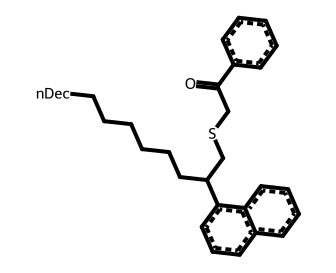 CCCCCCCCCCCCCCCCC(CSCC(=O)c1ccccc1)c1cccc2ccccc12